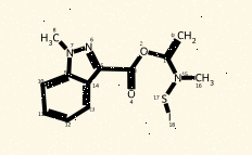 C=C(OC(=O)c1nn(C)c2ccccc12)N(C)SI